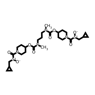 CN(CCCN(C)C(=O)OC1CCN(C(=O)[S+]([O-])CC2CC2)CC1)C(=O)OC1CCN(C(=O)[S+]([O-])CC2CC2)CC1